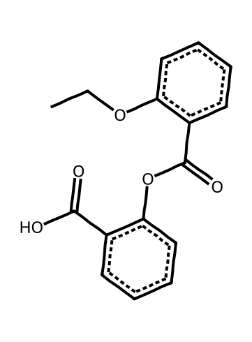 CCOc1ccccc1C(=O)Oc1ccccc1C(=O)O